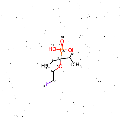 CCC(CC)(OCCI)P(=O)(O)O